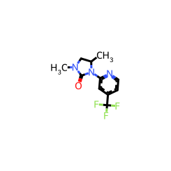 CC1CN(C)C(=O)N1c1cc(C(F)(F)F)ccn1